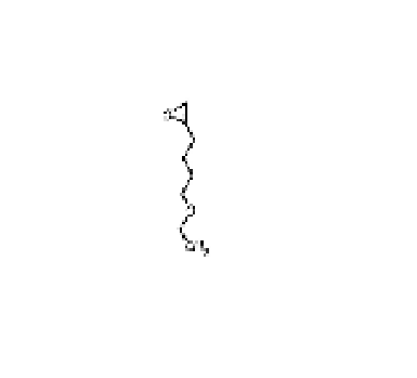 CCOCCCCC1CO1